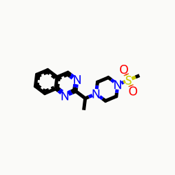 CC(c1ncc2ccccc2n1)N1CCN(S(C)(=O)=O)CC1